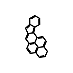 C1=Cc2ccc3cc4c(c5ccc(c2c35)C1)=c1ccccc1=C4